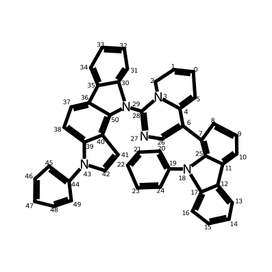 C1=CCN2C(=C1)C(c1cccc3c4ccccc4n(-c4ccccc4)c13)=CN=C2n1c2ccccc2c2ccc3c(ccn3-c3ccccc3)c21